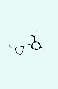 CCCOC(=O)c1cc(O)ccc1O[C@@H]1O[C@H](CO)[C@@H](O)[C@H](O)[C@H]1O